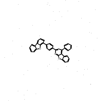 c1ccc(-c2nc(-c3ccc(-c4cccc5c4oc4ccccc45)cc3)nc3oc4ccccc4c23)cc1